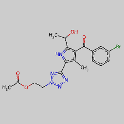 CC(=O)OCCn1nnc(-c2[nH]c(C(C)O)c(C(=O)c3cccc(Br)c3)c2C)n1